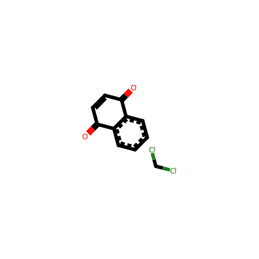 ClCCl.O=C1C=CC(=O)c2ccccc21